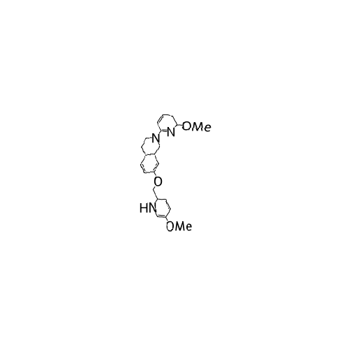 COC1=CNC(COC2=CC3CN(C4=NC(OC)CC=C4)CCC3C=C2)C=C1